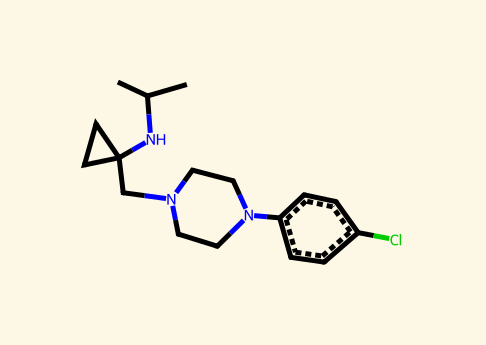 CC(C)NC1(CN2CCN(c3ccc(Cl)cc3)CC2)CC1